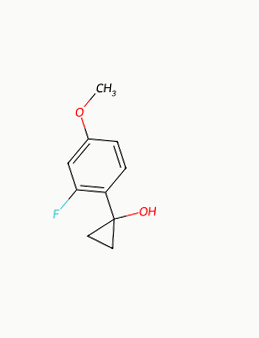 COc1ccc(C2(O)CC2)c(F)c1